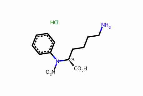 Cl.NCCCC[C@@H](C(=O)O)N(c1ccccc1)[N+](=O)[O-]